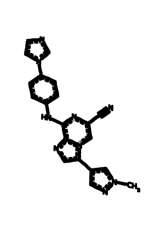 Cn1cc(-c2cnc3c(Nc4ccc(-n5ccnc5)cc4)nc(C#N)cn23)cn1